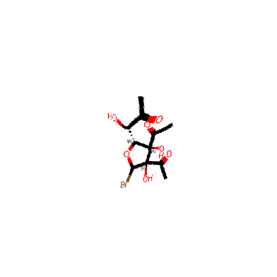 CC(=O)C(O)[C@H]1OC(Br)[C@@](O)(C(C)=O)[C@@]1(O)C(C)=O